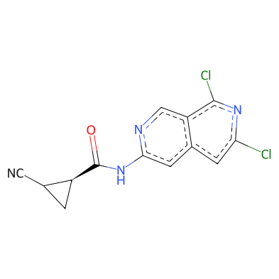 N#CC1C[C@@H]1C(=O)Nc1cc2cc(Cl)nc(Cl)c2cn1